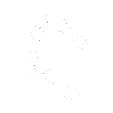 N=C(CCSc1ccc(Cl)cc1)C(=O)c1ccc(Sc2ccc(C(=O)c3ccc(Oc4ccccc4)cc3)cc2)cc1